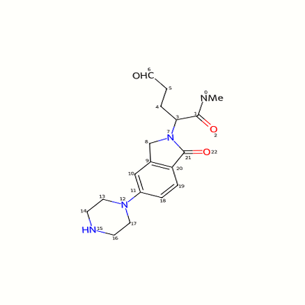 CNC(=O)C(CCC=O)N1Cc2cc(N3CCNCC3)ccc2C1=O